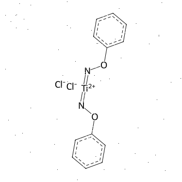 [Cl-].[Cl-].c1ccc(O[N]=[Ti+2]=[N]Oc2ccccc2)cc1